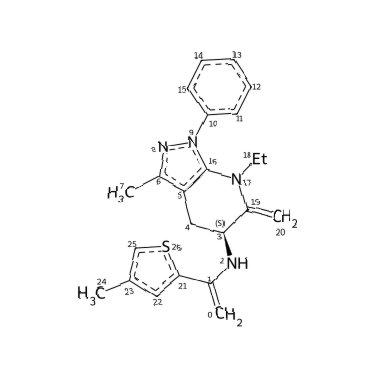 C=C(N[C@H]1Cc2c(C)nn(-c3ccccc3)c2N(CC)C1=C)c1cc(C)cs1